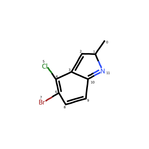 CC1C=c2c(Cl)c(Br)ccc2=N1